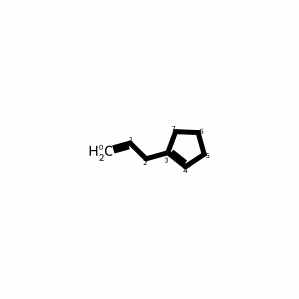 C=CCC1=[C]CCC1